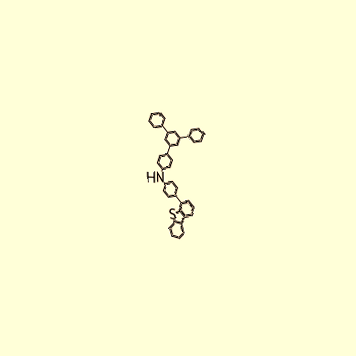 c1ccc(-c2cc(-c3ccccc3)cc(-c3ccc(Nc4ccc(-c5cccc6c5sc5ccccc56)cc4)cc3)c2)cc1